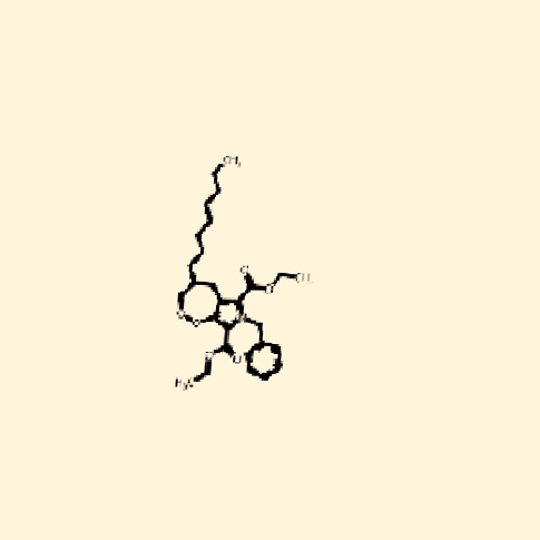 CCCCCCCCC1COOc2c(c(C(=O)OCC)n(Cc3ccccc3)c2C(=O)OCC)C1